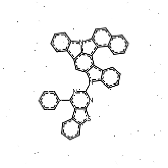 c1ccc(-c2nc(-n3c4ccccc4c4c5c6c7ccccc7ccc6n6c7ccccc7c(cc43)c56)nc3sc4ccccc4c23)cc1